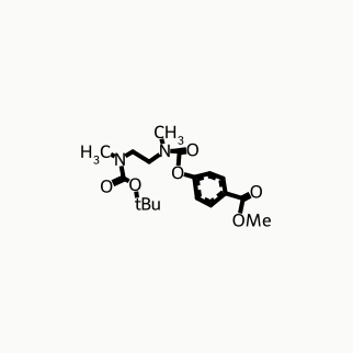 COC(=O)c1ccc(OC(=O)N(C)CCN(C)C(=O)OC(C)(C)C)cc1